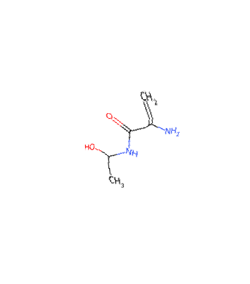 C=C(N)C(=O)NC(C)O